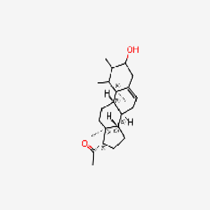 CC(=O)[C@H]1CC[C@H]2[C@@H]3CC=C4CC(O)C(C)C(C)[C@]4(C)[C@H]3CC[C@]12C